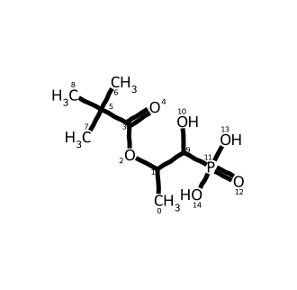 CC(OC(=O)C(C)(C)C)C(O)P(=O)(O)O